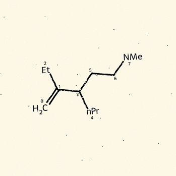 C=C(CC)C(CCC)CCNC